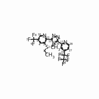 CCSc1cc(C(F)(F)F)cnc1-c1nnc(-c2cc(C(F)(F)C(F)(F)F)ccn2)n1C